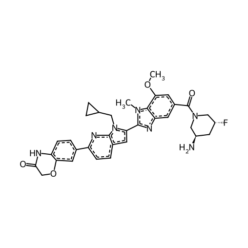 COc1cc(C(=O)N2C[C@H](N)C[C@@H](F)C2)cc2nc(-c3cc4ccc(-c5ccc6c(c5)OCC(=O)N6)nc4n3CC3CC3)n(C)c12